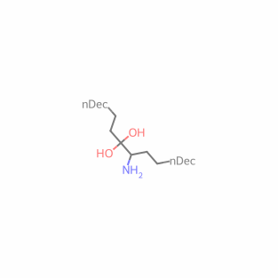 CCCCCCCCCCCCC(N)C(O)(O)CCCCCCCCCCCC